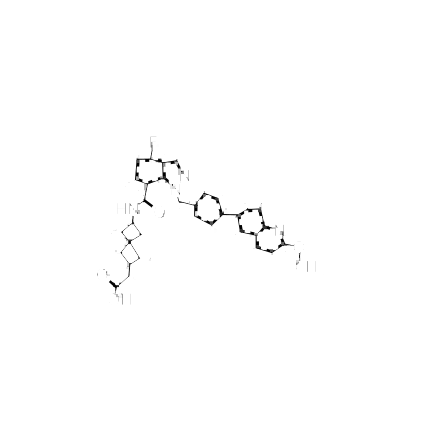 COc1ccc2cc(-c3ccc(Cn4ncc5c(F)ccc(C(=O)NC6CC7(CC(CC(=O)O)C7)C6)c54)cc3)ccc2n1